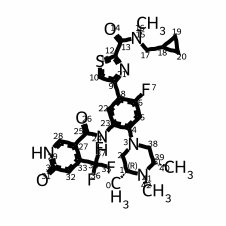 C[C@@H]1CN(c2cc(F)c(-c3csc(C(=O)N(C)CC4CC4)n3)cc2NC(=O)c2c[nH]c(=O)cc2C(F)(F)F)C[C@H](C)N1C